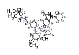 COc1cc(C)c(/C(=C(\c2ccc(/C=C/C(=O)OC(C)(C)C)cc2)c2ccc3c(c2)c(F)nn3C2CCCCO2)C2CCC2)cn1